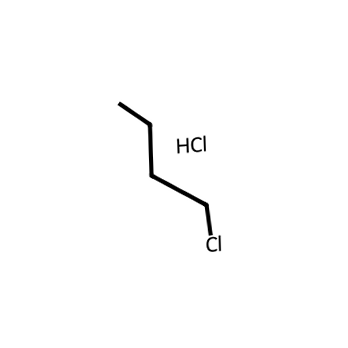 CCCCCl.Cl